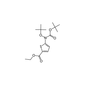 CCOC(=O)c1ccc(N(OC(C)(C)C)C(=O)OC(C)(C)C)s1